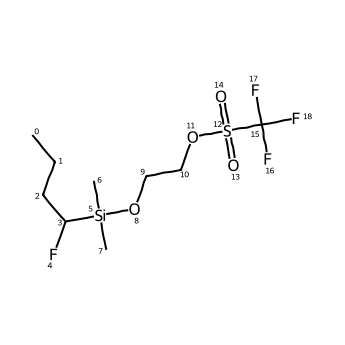 CCCC(F)[Si](C)(C)OCCOS(=O)(=O)C(F)(F)F